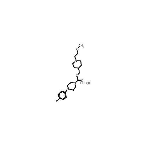 COCCN1CCC(COC(=O)N2CCN(c3ccc(F)cc3)CC2)CC1.Cl.Cl